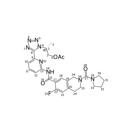 CC(=O)OC[C@@H](C)n1nnnc1-c1cccc(NC(=O)c2cc3c(cc2F)CCN(C(=O)N2CCCC2)C3)n1